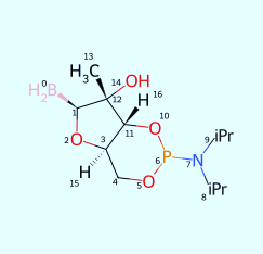 B[C@@H]1O[C@@H]2COP(N(C(C)C)C(C)C)O[C@H]2[C@@]1(C)O